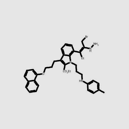 CCOC(=O)c1c(CCCOc2cccc3ccccc23)c2cccc(/C(CC)=C(\CBr)NN)c2n1CCCNc1ccc(C)cc1